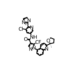 C[C@@]1(c2ccc3c(-n4ncc(C(=O)Nc5cnc(-n6nccn6)c(Cl)c5)c4C(F)(F)F)cccc3n2)CCCO1